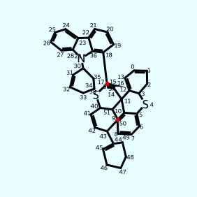 C1=CCC2Sc3ccccc3C3(C2=C1)C1C=CC(c2cccc4c5ccccc5n(C5C=CCCC5)c24)=CC1SC1C=CC(C2=CCCCC2)CC13